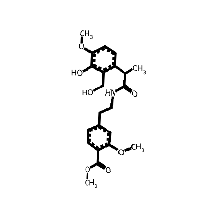 COC(=O)c1ccc(CCNC(=O)C(C)c2ccc(OC)c(O)c2CO)cc1OC